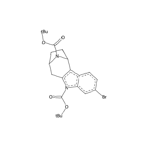 CC(C)(C)OC(=O)N1C2CCC1c1c(n(C(=O)OC(C)(C)C)c3cc(Br)ccc13)C2